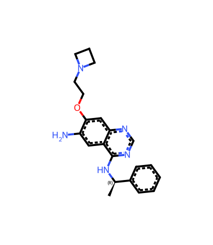 C[C@@H](Nc1ncnc2cc(OCCN3CCC3)c(N)cc12)c1ccccc1